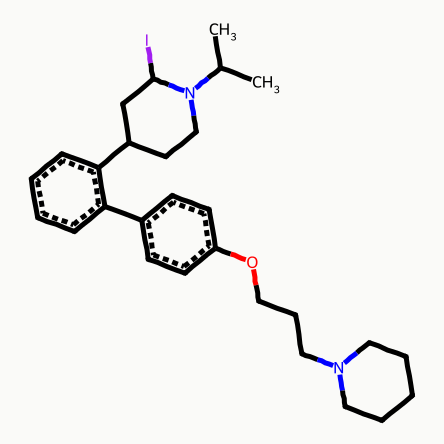 CC(C)N1CCC(c2ccccc2-c2ccc(OCCCN3CCCCC3)cc2)CC1I